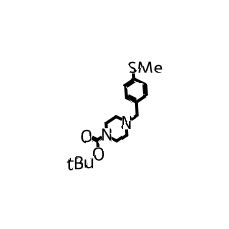 CSc1ccc(CN2CCN(C(=O)OC(C)(C)C)CC2)cc1